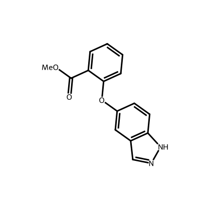 COC(=O)c1ccccc1Oc1ccc2[nH]ncc2c1